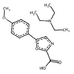 CCN(CC)CC.COc1ccc(-c2cnc(C(=O)O)o2)cc1